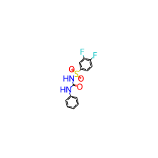 O=C(Nc1ccccc1)NS(=O)(=O)c1ccc(F)c(F)c1